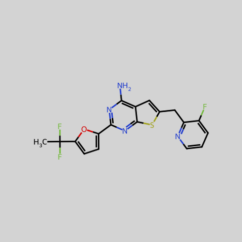 CC(F)(F)c1ccc(-c2nc(N)c3cc(Cc4ncccc4F)sc3n2)o1